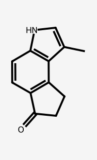 Cc1c[nH]c2ccc3c(c12)CCC3=O